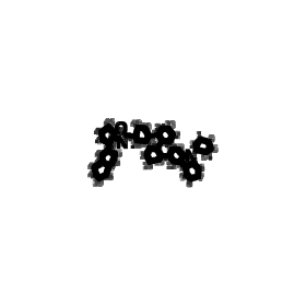 c1ccc(-n2c3ccccc3c3cc(-c4ccccc4-c4ccccc4-c4ccc(-c5nc6c(-c7ccc8ccccc8c7)cccc6o5)cc4)ccc32)cc1